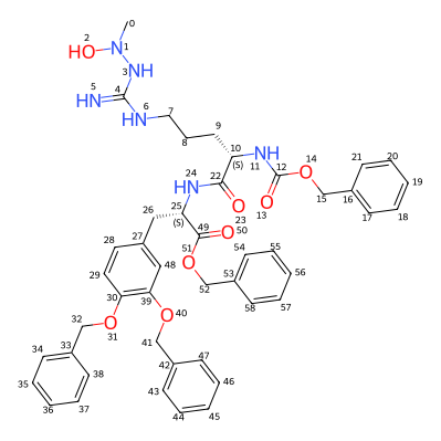 CN(O)NC(=N)NCCC[C@H](NC(=O)OCc1ccccc1)C(=O)N[C@@H](Cc1ccc(OCc2ccccc2)c(OCc2ccccc2)c1)C(=O)OCc1ccccc1